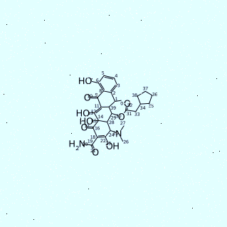 CC1c2cccc(O)c2C(=O)C2=C(O)C3(O)C(=O)C(C(N)=O)=C(O)C(N(C)C)C3C(OC(=O)CC3CCCC3)C21